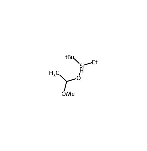 CC[SiH](OC(C)OC)C(C)(C)C